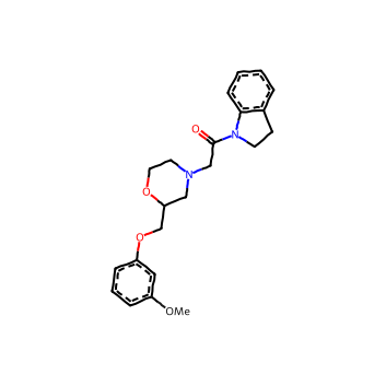 COc1cccc(OCC2CN(CC(=O)N3CCc4ccccc43)CCO2)c1